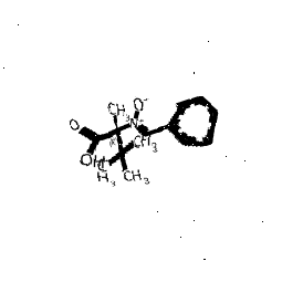 CC(C)(C)[C@](C)(C(=O)O)[N+]([O-])=Cc1ccccc1